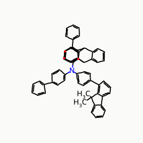 CC1(C)c2ccccc2-c2cccc(-c3ccc(N(c4ccc(-c5ccccc5)cc4)c4ccc(-c5ccccc5)c5c4C4c6ccccc6C5c5ccccc54)cc3)c21